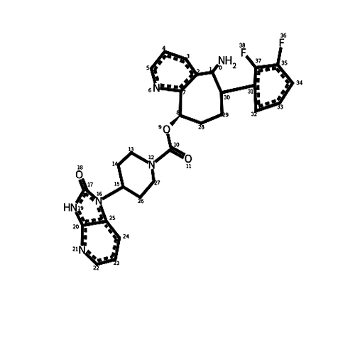 NC1c2cccnc2[C@H](OC(=O)N2CCC(n3c(=O)[nH]c4ncccc43)CC2)CCC1c1cccc(F)c1F